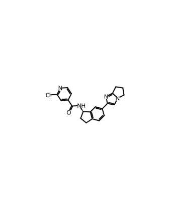 O=C(N[C@@H]1CCc2ccc(-c3cn4c(n3)CCC4)cc21)c1ccnc(Cl)c1